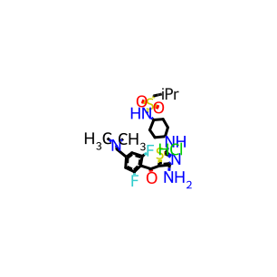 CC(C)CS(=O)(=O)NC1CCC(Nc2nc(N)c(C(=O)c3c(F)cc(CN(C)C)cc3F)s2)CC1.Cl